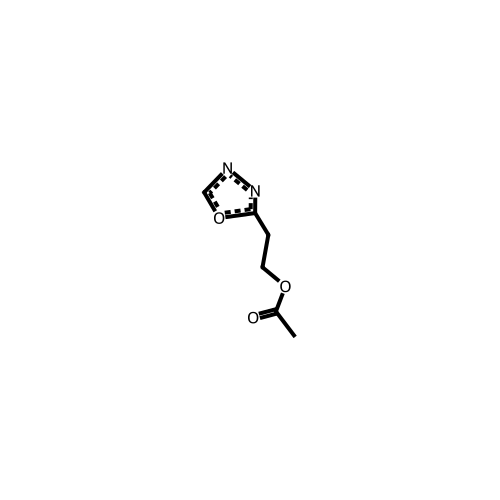 CC(=O)OCCc1nnco1